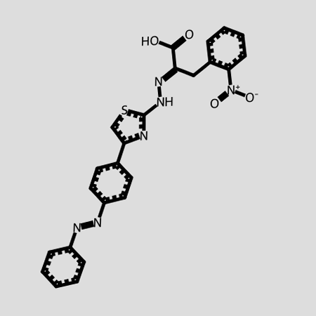 O=C(O)/C(Cc1ccccc1[N+](=O)[O-])=N/Nc1nc(-c2ccc(/N=N/c3ccccc3)cc2)cs1